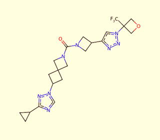 O=C(N1CC(c2cn(C3(C(F)(F)F)COC3)nn2)C1)N1CC2(CC(n3cnc(C4CC4)n3)C2)C1